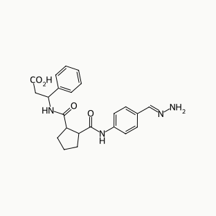 NN=Cc1ccc(NC(=O)C2CCCC2C(=O)NC(CC(=O)O)c2ccccc2)cc1